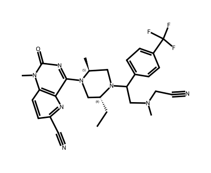 CC[C@@H]1CN(c2nc(=O)n(C)c3ccc(C#N)nc23)[C@@H](C)CN1C(CN(C)CC#N)c1ccc(C(F)(F)F)cc1